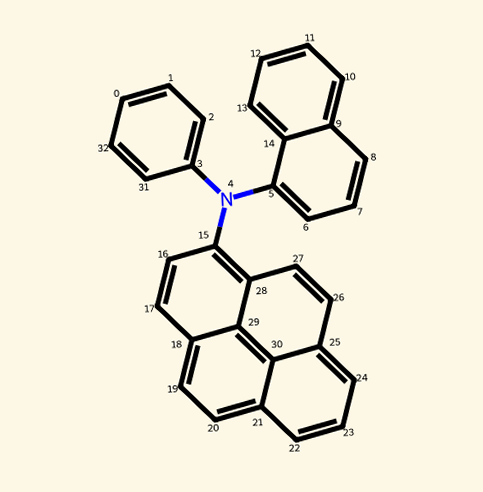 c1ccc(N(c2cccc3ccccc23)c2ccc3ccc4cccc5ccc2c3c45)cc1